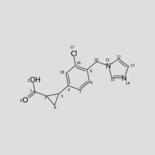 O=C(O)C1CC1c1ccc(Cn2ccnc2)c(Cl)c1